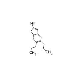 CCCc1cc2c(cc1CCC)C[C]([Hf])=C2